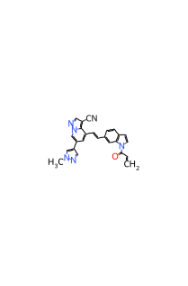 C=CC(=O)n1ccc2ccc(/C=C/c3cc(-c4cnn(C)c4)cn4ncc(C#N)c34)cc21